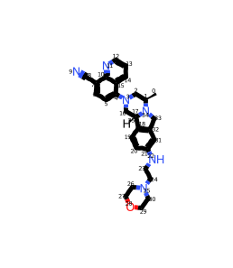 C[C@@H]1CN(c2ccc(C#N)c3ncccc23)C[C@@H]2c3ccc(NCCN4CCOCC4)cc3CN12